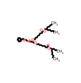 CCCCCCC(CCCC)COC(=O)CCCCCCCOCC(COCCOCc1ccccc1)OCCCCCCCC(=O)OCC(CCCCC)CCCCC